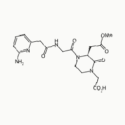 COC(=O)C[C@H]1C(=O)N(CC(=O)O)CCN1C(=O)CNC(=O)Cc1cccc(N)n1